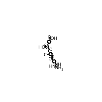 N=C(N)Nc1ccc(C(=O)Oc2ccc(CC(=O)N(CCc3ccc(C(=O)O)cc3)CC(=O)O)c(Cl)c2)cc1